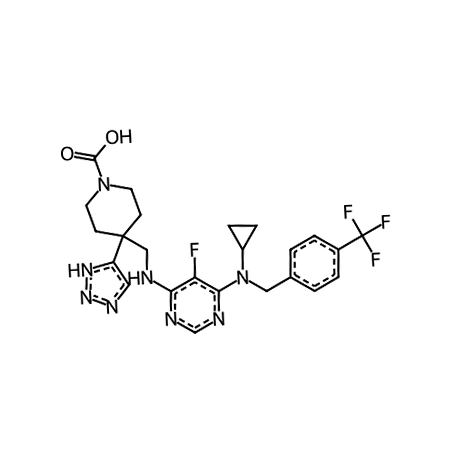 O=C(O)N1CCC(CNc2ncnc(N(Cc3ccc(C(F)(F)F)cc3)C3CC3)c2F)(c2cnn[nH]2)CC1